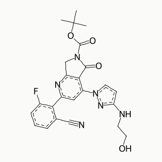 CC(C)(C)OC(=O)N1Cc2nc(-c3c(F)cccc3C#N)cc(-n3ccc(NCCO)n3)c2C1=O